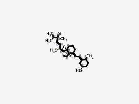 C=C1CC[C@H](O)CC1=CC=C1CCC[C@@]2(C)[C@@H]1CC[C@@H]2[C@H](C)/C=C/[C@@](C)(O)C(C)C